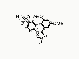 COc1cc(OC)cc(-c2nc(C)nn2-c2ccc(S(N)(=O)=O)cn2)c1